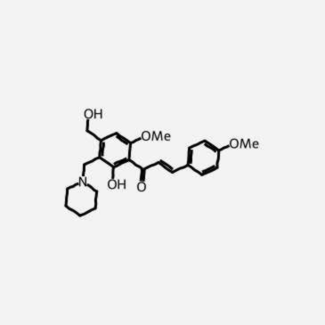 COc1ccc(/C=C/C(=O)c2c(OC)cc(CO)c(CN3CCCCC3)c2O)cc1